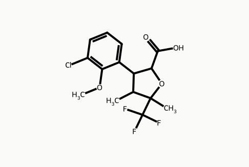 COc1c(Cl)cccc1C1C(C(=O)O)OC(C)(C(F)(F)F)C1C